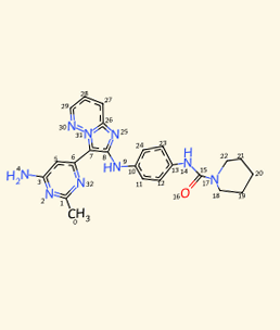 Cc1nc(N)cc(-c2c(Nc3ccc(NC(=O)N4CCCCC4)cc3)nc3cccnn23)n1